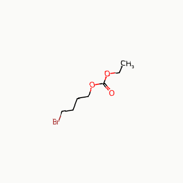 CCOC(=O)OCCCCBr